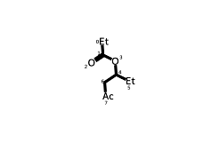 CCC(=O)OC(CC)CC(C)=O